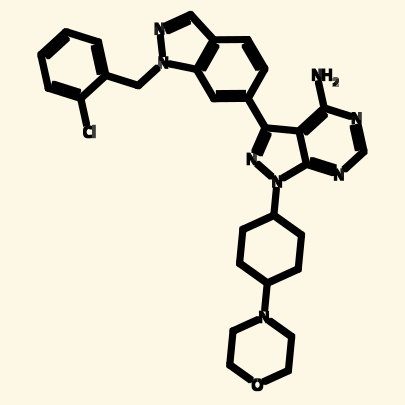 Nc1ncnc2c1c(-c1ccc3cnn(Cc4ccccc4Cl)c3c1)nn2C1CCC(N2CCOCC2)CC1